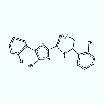 CCCc1nc(C(=O)NC(CC(=O)O)c2ccccc2C)nn1-c1ccccc1Cl